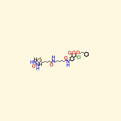 O=C(CCCC[C@@H]1SC[C@@H]2NC(=O)N[C@@H]21)NCCCCCC(=O)Nc1ccc2c(Cl)c(OCCc3ccccc3)oc(=O)c2c1